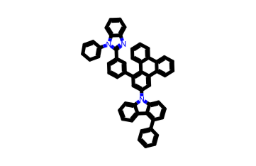 C1=CC(n2c(-c3cccc(-c4cc(-n5c6ccccc6c6c(-c7ccccc7)cccc65)cc5c6ccccc6c6ccccc6c45)c3)nc3ccccc32)=CCC1